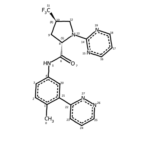 Cc1ccc(NC(=O)[C@@H]2C[C@@H](C(F)(F)F)CN2c2ncccn2)cc1-c1cccnn1